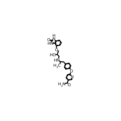 CC(Cc1ccc(Oc2ccc(C(N)=O)cn2)cc1)NCC(O)COc1cccc2[nH]c(=O)[nH]c12